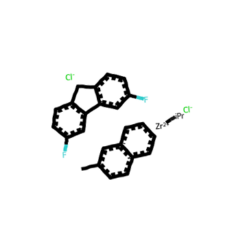 C[CH](C)[Zr+2].Cc1ccc2ccccc2c1.Fc1ccc2c(c1)-c1cc(F)ccc1C2.[Cl-].[Cl-]